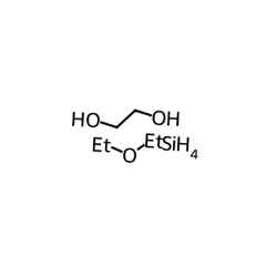 CCOCC.OCCO.[SiH4]